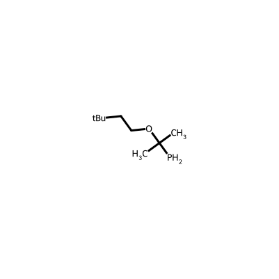 CC(C)(C)CCOC(C)(C)P